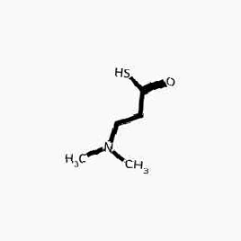 CN(C)CCC(=O)S